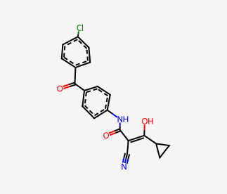 N#CC(C(=O)Nc1ccc(C(=O)c2ccc(Cl)cc2)cc1)=C(O)C1CC1